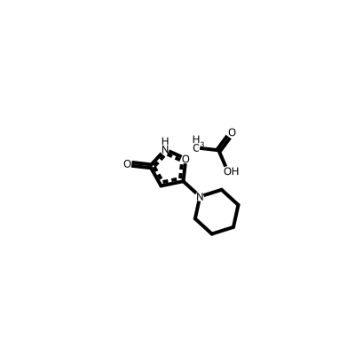 CC(=O)O.O=c1cc(N2CCCCC2)o[nH]1